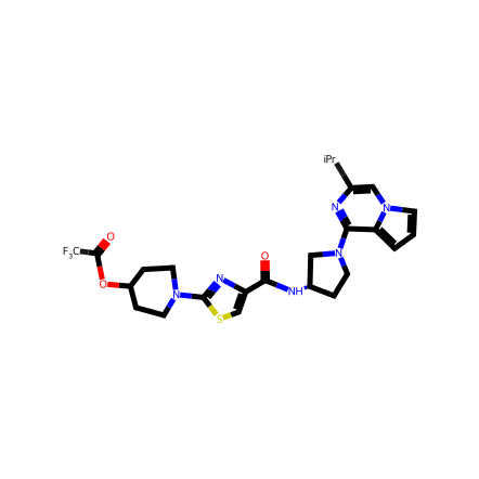 CC(C)c1cn2cccc2c(N2CC[C@H](NC(=O)c3csc(N4CCC(OC(=O)C(F)(F)F)CC4)n3)C2)n1